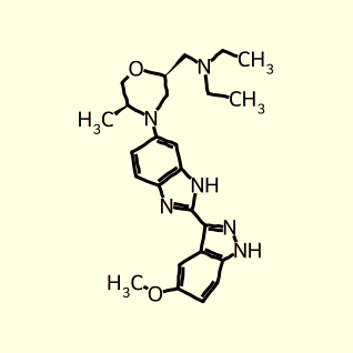 CCN(CC)C[C@H]1CN(c2ccc3nc(-c4n[nH]c5ccc(OC)cc45)[nH]c3c2)[C@@H](C)CO1